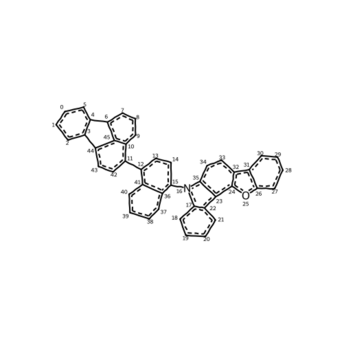 c1ccc2c(c1)-c1cccc3c(-c4ccc(-n5c6ccccc6c6c7oc8ccccc8c7ccc65)c5ccccc45)ccc-2c13